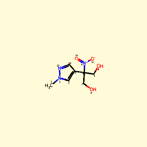 Cn1cc(C(CO)(CO)[N+](=O)[O-])cn1